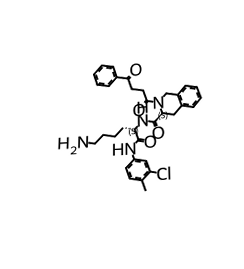 Cc1ccc(NC(=O)[C@H](CCCCN)NC(=O)[C@@H]2Cc3ccccc3CN2C(=O)CCC(=O)c2ccccc2)cc1Cl